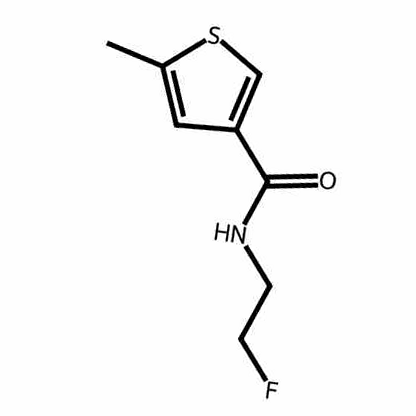 Cc1cc(C(=O)NCCF)cs1